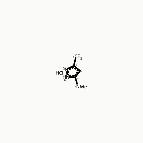 CNc1cc(C(F)(F)F)n[nH]1.Cl